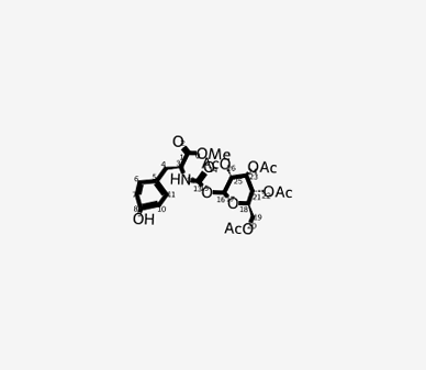 COC(=O)[C@H](Cc1ccc(O)cc1)NC(=O)OC1O[C@H](COC(C)=O)[C@@H](OC(C)=O)[C@H](OC(C)=O)[C@H]1OC(C)=O